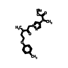 Cc1ccc(OCCN(C)C(=O)Cn2cc(N(C)C(=O)OC(C)(C)C)cn2)cc1